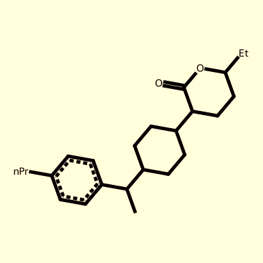 CCCc1ccc(C(C)C2CCC(C3CCC(CC)OC3=O)CC2)cc1